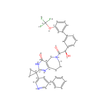 O=C([C@H](O)c1cccc(-c2cccc(OC(F)(F)F)c2)c1)N1CCCc2nc(C3(c4cncc(-c5ccccc5)c4)CC3)[nH]c(=O)c2C1